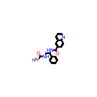 CCCC(=O)NCC(NC(=O)c1ccc2ncccc2c1)c1ccccc1